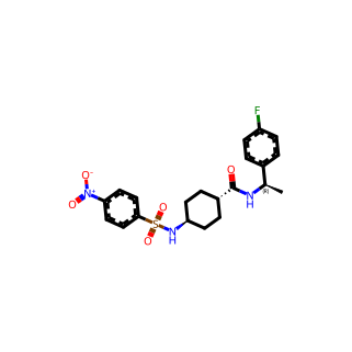 C[C@@H](NC(=O)[C@H]1CC[C@H](NS(=O)(=O)c2ccc([N+](=O)[O-])cc2)CC1)c1ccc(F)cc1